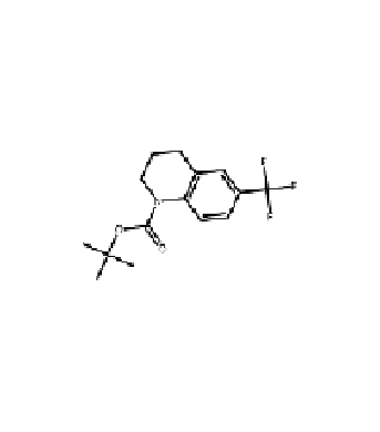 CC(C)(C)OC(=O)N1CCCc2cc(C(F)(F)F)ccc21